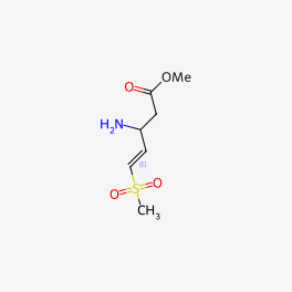 COC(=O)CC(N)/C=C/S(C)(=O)=O